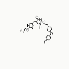 COc1ncc(Cc2c[nH]c(OCCc3ccc(Oc4ccc(F)cc4)cc3)nc2=O)cn1